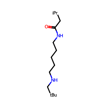 CC(C)CC(=O)NCCCCCNCC(C)(C)C